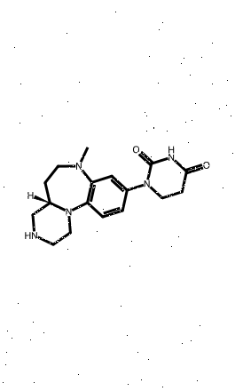 CN1CC[C@H]2CNCCN2c2ccc(N3CCC(=O)NC3=O)cc21